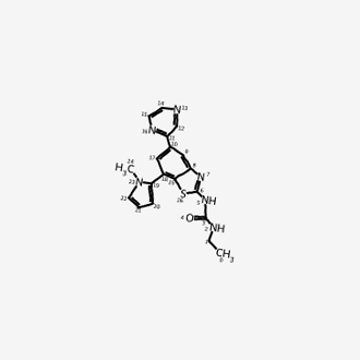 CCNC(=O)Nc1nc2cc(-c3cnccn3)cc(-c3cccn3C)c2s1